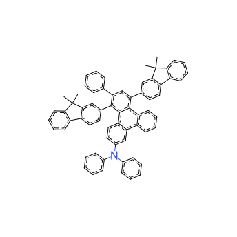 CC1(C)c2ccccc2-c2ccc(-c3cc(-c4ccccc4)c(-c4ccc5c(c4)C(C)(C)c4ccccc4-5)c4c5ccc(N(c6ccccc6)c6ccccc6)cc5c5ccccc5c34)cc21